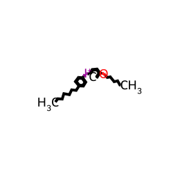 CCCCCCCc1ccc([I+]c2ccc(OCCCCCC)cc2)cc1